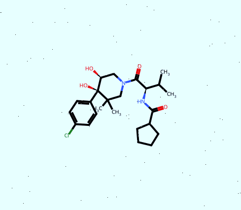 CC(C)[C@@H](NC(=O)C1CCCC1)C(=O)N1C[C@H](O)[C@@](O)(c2ccc(Cl)cc2)C(C)(C)C1